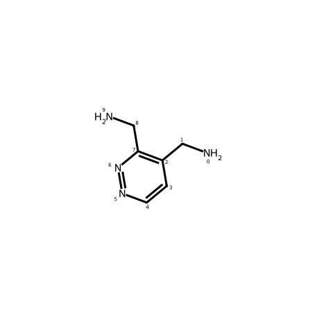 NCc1ccnnc1CN